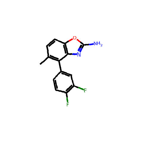 Cc1ccc2oc(N)nc2c1-c1ccc(F)c(F)c1